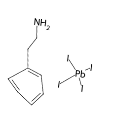 NCCc1ccccc1.[I][Pb]([I])([I])[I]